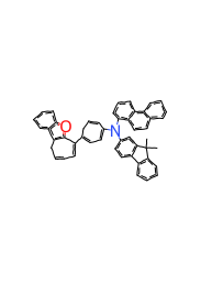 CC1(C)c2ccccc2-c2ccc(N(C3=CC=C(C4=CC=CCc5c4oc4ccccc54)CC=C3)c3cccc4c3ccc3ccccc34)cc21